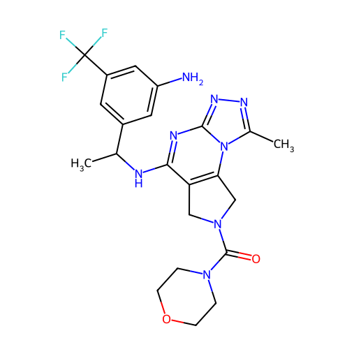 Cc1nnc2nc(NC(C)c3cc(N)cc(C(F)(F)F)c3)c3c(n12)CN(C(=O)N1CCOCC1)C3